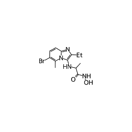 CCc1nc2ccc(Br)c(C)n2c1NC(C)C(=O)NO